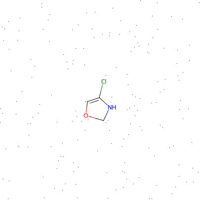 ClC1=[C]OCN1